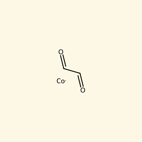 O=CC=O.[Co]